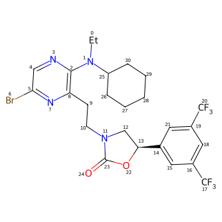 CCN(c1ncc(Br)nc1CCN1C[C@@H](c2cc(C(F)(F)F)cc(C(F)(F)F)c2)OC1=O)C1CCCCC1